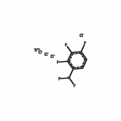 Fc1ccc(N(F)F)c(F)c1F.[Cl-].[Cl-].[Cl-].[Cl-].[Ti+4]